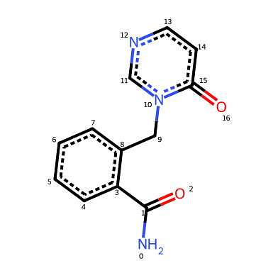 NC(=O)c1ccccc1Cn1cnccc1=O